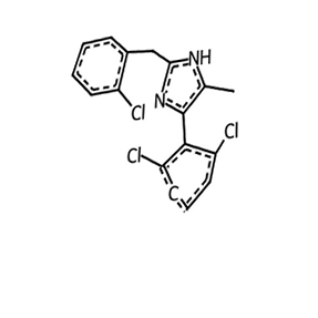 Cc1[nH]c(Cc2ccccc2Cl)nc1-c1c(Cl)cccc1Cl